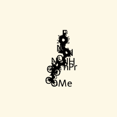 CCC[C@H](NC(=O)c1cncc2c1cnn2-c1ccc(F)cc1)c1cncc(S(=O)(=O)CCC(=O)OC)c1